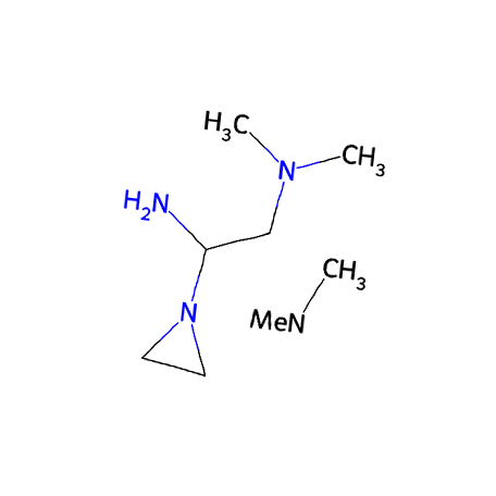 CN(C)CC(N)N1CC1.CNC